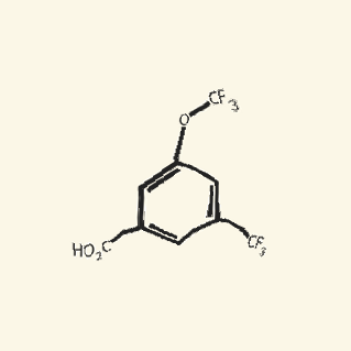 O=C(O)c1cc(OC(F)(F)F)cc(C(F)(F)F)c1